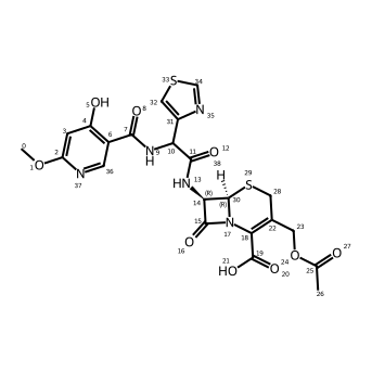 COc1cc(O)c(C(=O)NC(C(=O)N[C@@H]2C(=O)N3C(C(=O)O)=C(COC(C)=O)CS[C@H]23)c2cscn2)cn1